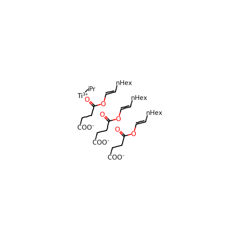 CCCCCCC=COC(=O)CCC(=O)[O-].CCCCCCC=COC(=O)CCC(=O)[O-].CCCCCCC=COC(=O)CCC(=O)[O-].C[CH](C)[Ti+3]